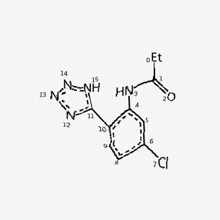 CCC(=O)Nc1cc(Cl)ccc1-c1nnn[nH]1